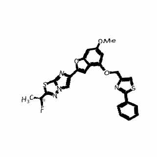 COc1cc(OCc2csc(-c3ccccc3)n2)c2cc(-c3cn4nc([C@H](C)F)sc4n3)oc2c1